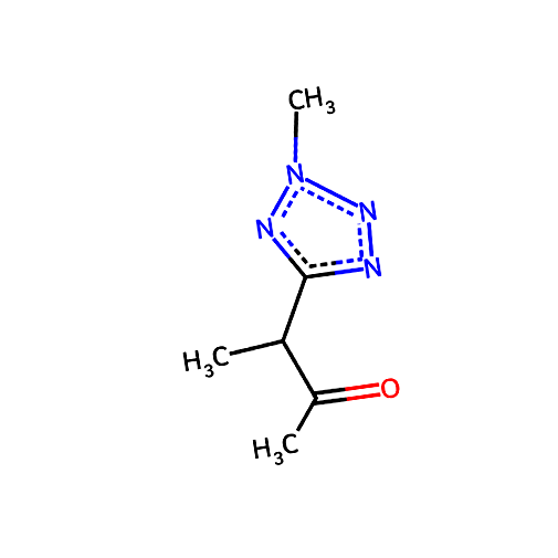 CC(=O)C(C)c1nnn(C)n1